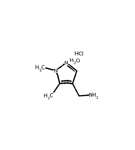 Cc1c(CN)cnn1C.Cl.O